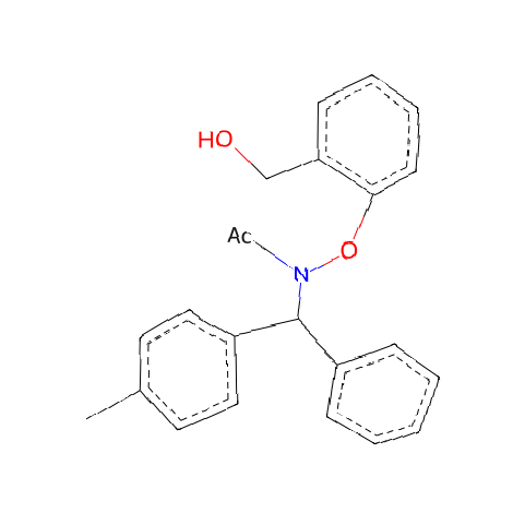 CC(=O)N(Oc1ccccc1CO)C(c1ccccc1)c1ccc(C)cc1